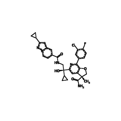 C[C@]1(C(N)=O)COc2c1cc([C@@](O)(CNC(=O)c1ccn3nc(C4CC4)cc3c1)C1CC1)nc2-c1ccc(F)c(Cl)c1